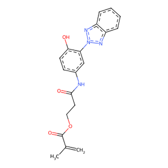 C=C(C)C(=O)OCCC(=O)Nc1ccc(O)c(-n2nc3ccccc3n2)c1